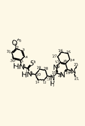 COc1ccc(NC(=S)NC2CCC(Nc3nc4c(c(N(C)C)n3)CCCC4)CC2)cc1